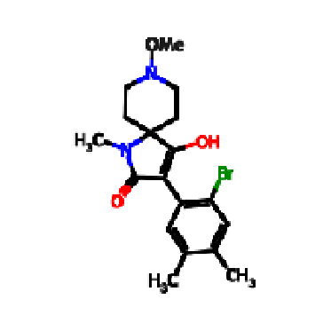 CON1CCC2(CC1)C(O)=C(c1cc(C)c(C)cc1Br)C(=O)N2C